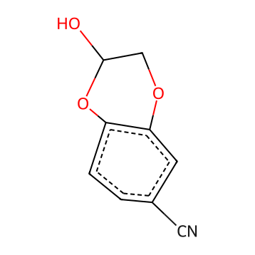 N#Cc1ccc2c(c1)OCC(O)O2